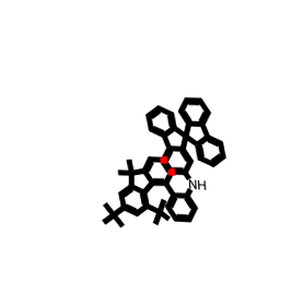 CC(C)(C)c1cc(C(C)(C)C)c2c(c1)C(C)(C)c1cccc(-c3ccccc3Nc3ccc4c(c3)C3(c5ccccc5-c5ccccc53)c3ccccc3-4)c1-2